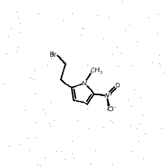 Cn1c(CCBr)ccc1[N+](=O)[O-]